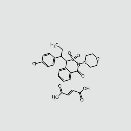 CCC(c1ccc(Cl)cc1)C1c2ccccc2C(=O)N(N2CCOCC2)S1(=O)=O.O=C(O)C=CC(=O)O